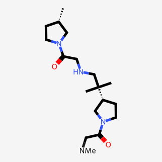 CNCC(=O)N1CC[C@@H](C(C)(C)CNCC(=O)N2CC[C@H](C)C2)C1